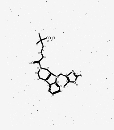 Cc1nc(Cn2c3c(c4ccccc42)CCN(C(=O)CCCC(C)(C)C(=O)O)C3)c(C)s1